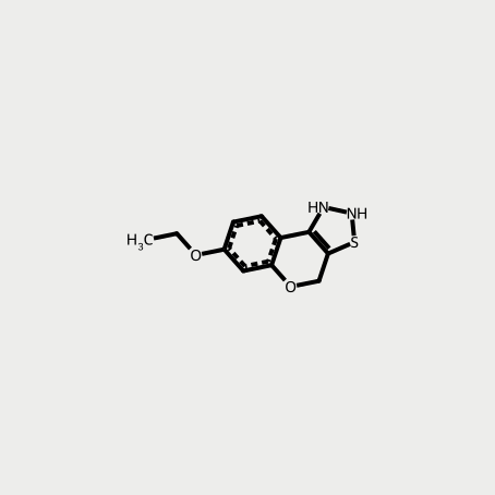 CCOc1ccc2c(c1)OCC1=C2NNS1